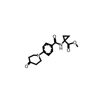 COC(=O)C1(NC(=O)c2ccc(N3CCC(=O)CC3)cc2)CC1